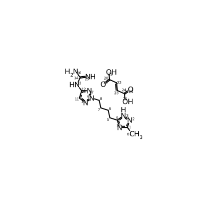 Cc1n[nH]c(CCCCn2ncc(NC(=N)N)n2)n1.O=C(O)/C=C/C(=O)O